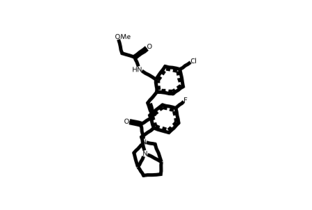 COCC(=O)Nc1cc(Cl)ccc1C=CC(=O)N1CC2CCC(C1)N2Cc1ccc(F)cc1